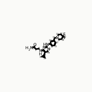 NC(=O)CCNc1nc(Nc2cccc(CN3CCC(F)(F)CC3)c2)ncc1C1CC1